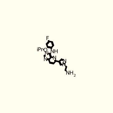 CC(C)Oc1cc(F)ccc1Nc1ncnc2ccc(-c3cnn(CCN)c3)nc12